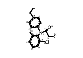 CCc1ccc(N(C(=O)CCl)c2c(C)cccc2Cl)cc1